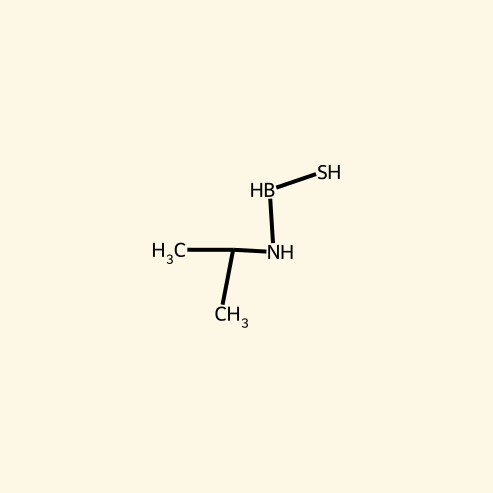 CC(C)NBS